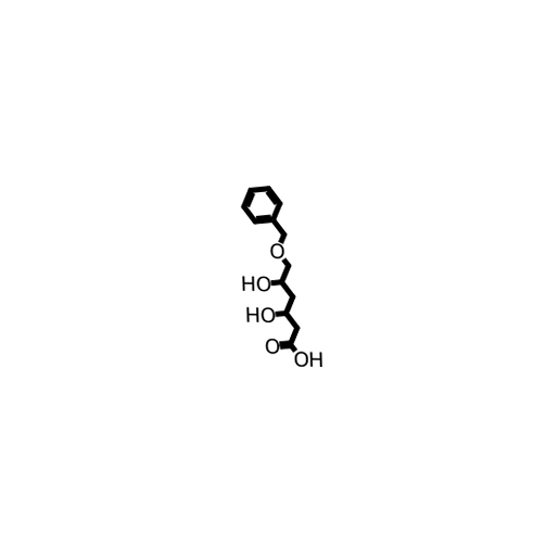 O=C(O)CC(O)CC(O)COCc1ccccc1